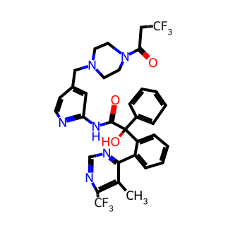 Cc1c(-c2ccccc2C(O)(C(=O)Nc2cc(CN3CCN(C(=O)CC(F)(F)F)CC3)ccn2)c2ccccc2)ncnc1C(F)(F)F